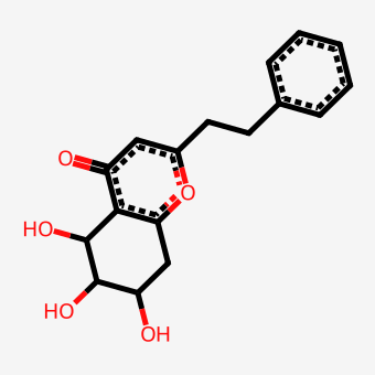 O=c1cc(CCc2ccccc2)oc2c1C(O)C(O)C(O)C2